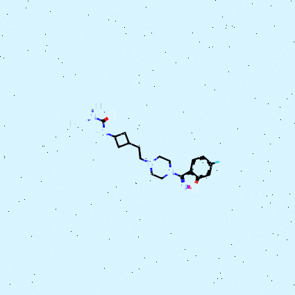 CN(C)C(=O)NC1CC(CCN2CCN(c3noc4cc(F)ccc34)CC2)C1